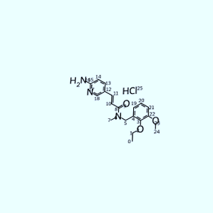 CCOc1c(CN(C)C(=O)C=Cc2ccc(N)nc2)cccc1OC.Cl